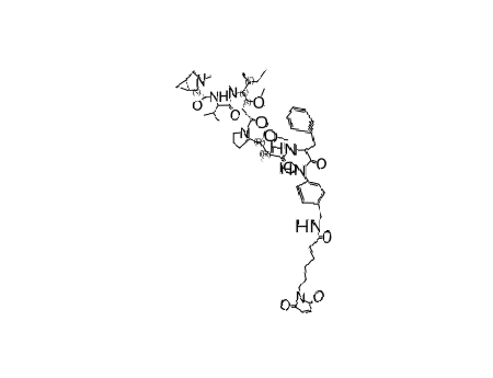 CC[C@H](C)[C@@H]([C@@H](CC(=O)N1CCCC1[C@H](OC)[C@@H](C)C(=O)NC(Cc1ccccc1)C(=O)Nc1ccc(CNC(=O)CCCCCN2C(=O)C=CC2=O)cc1)OC)N(C)C(=O)C(NC(=O)[C@@H]1C2CC2CN1C)C(C)C